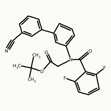 CC(C)(C)OC(=O)CN(C(=O)c1c(F)cccc1F)c1cccc(-c2cccc(C#N)c2)c1